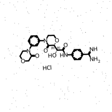 Cl.N=C(N)c1ccc(NC(=O)[C@H](O)[C@H]2OCCN(c3cccc(N4CCOCC4=O)c3)C2=O)cc1